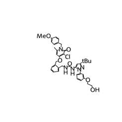 COc1ccc(Cn2c(C)cc(OCc3ccccc3CNC(=O)Nc3cc(C(C)(C)C)nn3-c3cccc(OCCO)c3)c(Cl)c2=O)cc1